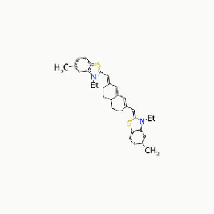 CCN1/C(=C/C2=CC3=C/C(=C/c4sc5ccc(C)cc5[n+]4CC)CCC3CC2)Sc2ccc(C)cc21